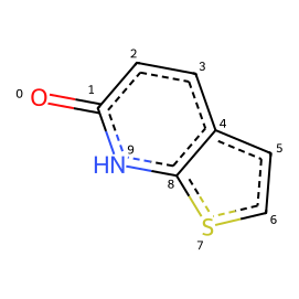 O=c1ccc2ccsc2[nH]1